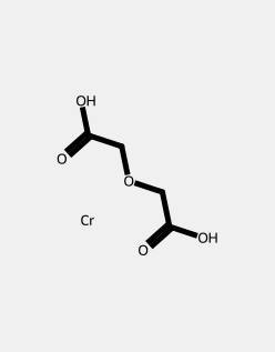 O=C(O)COCC(=O)O.[Cr]